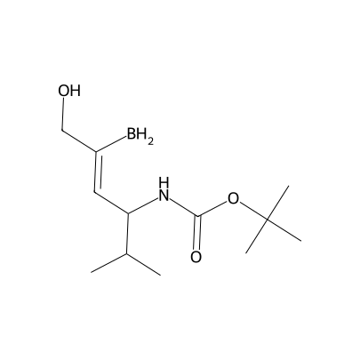 B/C(=C\C(NC(=O)OC(C)(C)C)C(C)C)CO